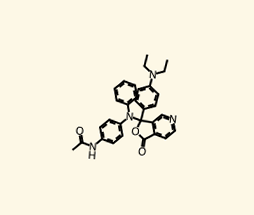 CCN(CC)c1ccc(C2(N(c3ccccc3)c3ccc(NC(C)=O)cc3)OC(=O)c3ccncc32)cc1